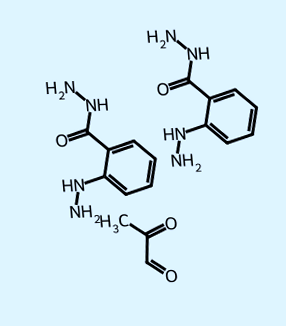 CC(=O)C=O.NNC(=O)c1ccccc1NN.NNC(=O)c1ccccc1NN